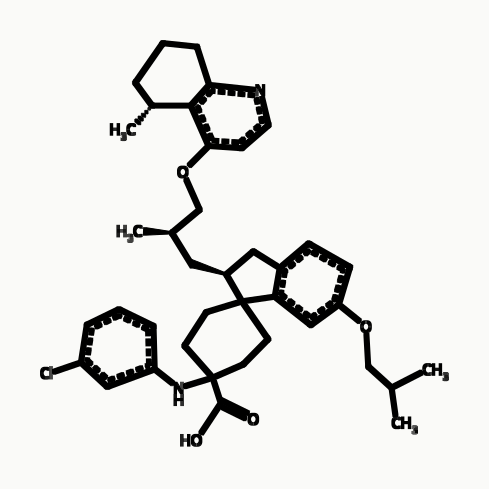 CC(C)COc1ccc2c(c1)C1(CCC(Nc3cccc(Cl)c3)(C(=O)O)CC1)[C@@H](C[C@@H](C)COc1ccnc3c1[C@H](C)CCC3)C2